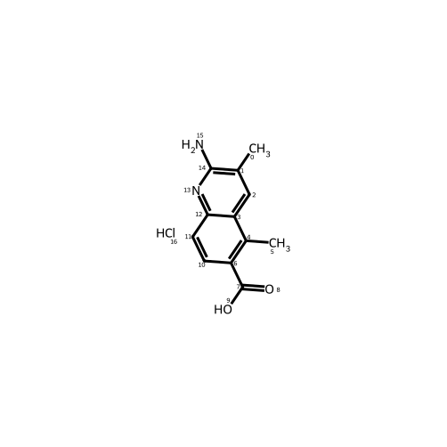 Cc1cc2c(C)c(C(=O)O)ccc2nc1N.Cl